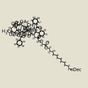 CCCCCCCCCCCCCCCCCCCCCCOC(=O)COCC(=O)C[C@@H](C(=O)O[C@H]1C[C@@]2(O)[C@@H](OC(=O)c3ccccc3)[C@H]3[C@](C)(C(=O)[C@H](OC(C)=O)C(=C1C)C2(C)C)[C@@H](O)C[C@@]1(C)OC[C@@]31OC(C)=O)C(NC(=O)c1ccccc1)c1ccccc1